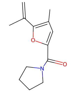 C=C(C)c1oc(C(=O)N2CCCC2)cc1C